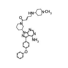 CN1CCC(NC/C=C/C(=O)N2CCCC(n3nc(-c4ccc(Oc5ccccc5)cc4)c4c(N)ncnc43)C2)CC1